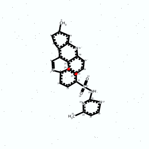 Cc1ccc2c(/C=N\c3ccc(S(=O)(=O)Nc4nccc(C)n4)cc3)c3ccccc3nc2c1